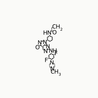 C=CC(=O)Nc1cccc(-n2cnc(=O)c3cnc(Nc4cc(F)c(N5CCN(C)CC5)cc4F)nc32)c1